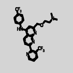 CN(C)CCOCc1cc(Nc2ccc(C(F)(F)F)cc2)c2ccc(-c3ncccc3C(F)(F)F)nc2n1